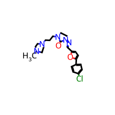 CN1CCN(CCCN2CCN(N=Cc3ccc(-c4ccc(Cl)cc4)o3)C2=O)CC1